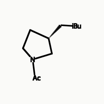 CCC(C)C[C@H]1CCN(C(C)=O)C1